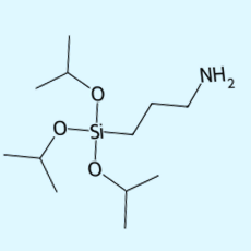 CC(C)O[Si](CCCN)(OC(C)C)OC(C)C